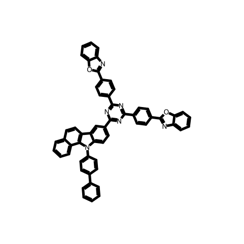 c1ccc(-c2ccc(-n3c4ccc(-c5nc(-c6ccc(-c7nc8ccccc8o7)cc6)nc(-c6ccc(-c7nc8ccccc8o7)cc6)n5)cc4c4ccc5ccccc5c43)cc2)cc1